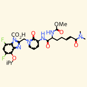 COC(=O)NC(CC/C=C/C(=O)N(C)C)C(=O)Nc1cccn(Cc2nc3c(OC(C)C)c(F)cc(F)c3n2C(=O)O)c1=O